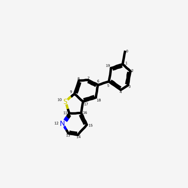 Cc1cccc(-c2ccc3sc4ncccc4c3c2)c1